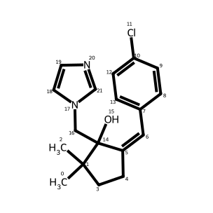 CC1(C)CCC(=Cc2ccc(Cl)cc2)C1(O)Cn1ccnc1